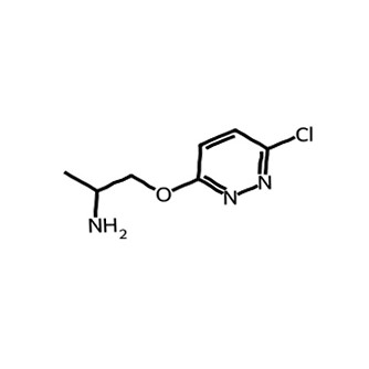 CC(N)COc1ccc(Cl)nn1